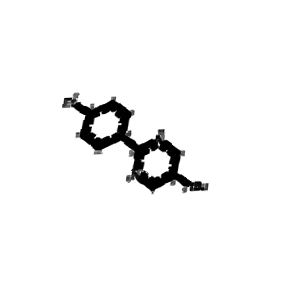 CCc1ccc(-c2ncc(C(C)(C)C)cn2)cc1